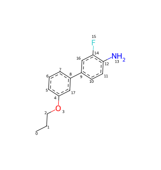 CCCOc1cccc(-c2ccc(N)c(F)c2)c1